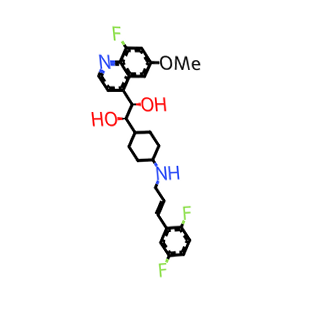 COc1cc(F)c2nccc([C@@H](O)[C@H](O)C3CCC(NCC=Cc4cc(F)ccc4F)CC3)c2c1